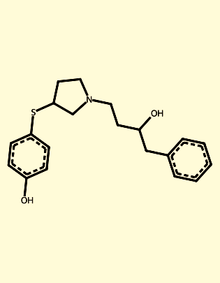 Oc1ccc(SC2CCN(CCC(O)Cc3ccccc3)C2)cc1